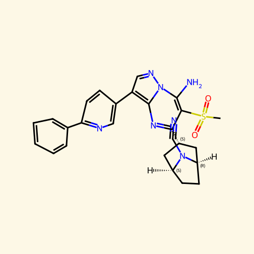 CS(=O)(=O)c1c([C@@H]2C[C@H]3CC[C@@H](C2)N3C#N)nc2c(-c3ccc(-c4ccccc4)nc3)cnn2c1N